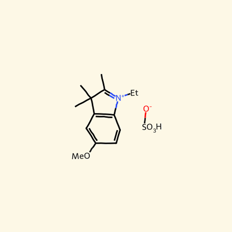 CC[N+]1=C(C)C(C)(C)c2cc(OC)ccc21.O=S(=O)([O-])O